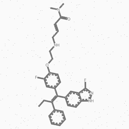 CCC(=C(c1ccc(OCCNCC=CC(=O)N(C)C)c(F)c1)c1ccc2[nH]nc(F)c2c1)c1ccccc1